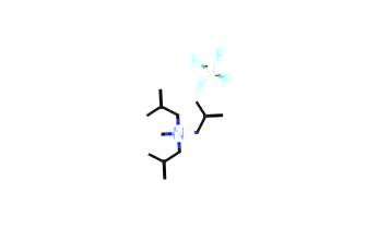 CC(C)C[N+](C)(CC(C)C)CC(C)C.F[B-](F)(F)F